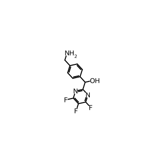 NCc1ccc(C(O)c2nc(F)c(F)c(F)n2)cc1